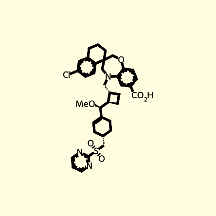 CO[C@H](C1=CC[C@@H](CS(=O)(=O)c2ncccn2)CC1)[C@@H]1CC[C@H]1CN1CC2(CCCc3cc(Cl)ccc32)COc2ccc(C(=O)O)cc21